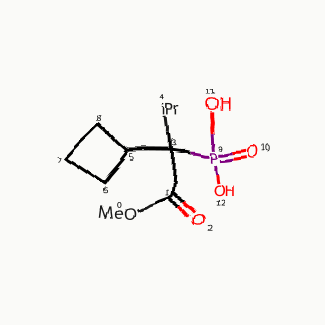 COC(=O)C(C(C)C)(C1CCC1)P(=O)(O)O